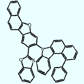 c1ccc(-c2cccc3ccc4c(c5ccccc5n4-c4cc5oc6c7ccccc7ccc6c5cc4-c4nc5ccccc5o4)c23)cc1